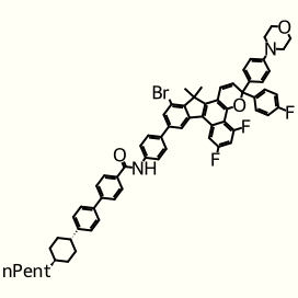 CCCCC[C@H]1CC[C@H](c2ccc(-c3ccc(C(=O)Nc4ccc(-c5cc(Br)c6c(c5)-c5c(c7c(c8c(F)cc(F)cc58)OC(c5ccc(F)cc5)(c5ccc(N8CCOCC8)cc5)C=C7)C6(C)C)cc4)cc3)cc2)CC1